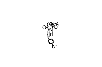 CN(C)c1ccc(COC[C@H](NC(=O)OC(C)(C)C)C(=O)O)cc1